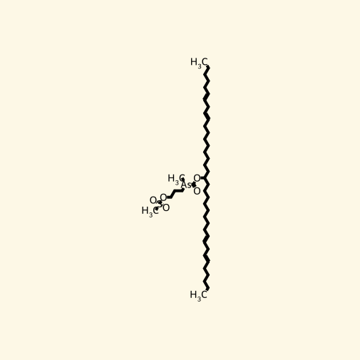 CCCCCC=CCC=CCCCCCCCCC(CCCCCCCCC=CCC=CCCCCC)OC(=O)[As](C)CCCOS(C)(=O)=O